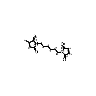 CC1CC(=O)N(CCCCCCN2C(=O)C=CC2=O)C1=O